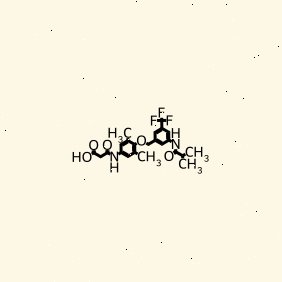 Cc1cc(NC(=O)CC(=O)O)cc(C)c1OCc1cc(NC(=O)C(C)C)cc(C(F)(F)F)c1